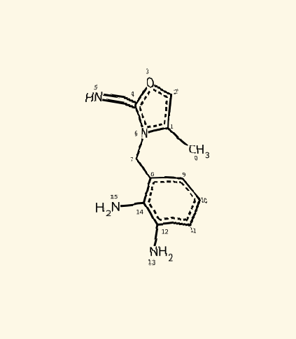 Cc1coc(=N)n1Cc1cccc(N)c1N